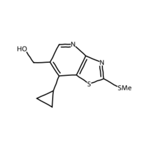 CSc1nc2ncc(CO)c(C3CC3)c2s1